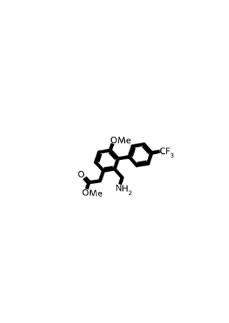 COC(=O)Cc1ccc(OC)c(-c2ccc(C(F)(F)F)cc2)c1CN